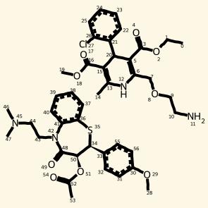 CCOC(=O)C1=C(COCCN)NC(C)=C(C(=O)OC)C1c1ccccc1Cl.COc1ccc([C@@H]2Sc3ccccc3N(CCN(C)C)C(=O)[C@@H]2OC(C)=O)cc1